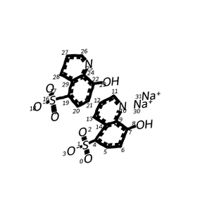 O=S(=O)([O-])c1ccc(O)c2ncccc12.O=S(=O)([O-])c1ccc(O)c2ncccc12.[Na+].[Na+]